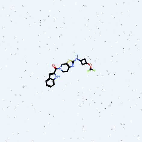 O=C(c1cc2ccccc2[nH]1)N1CCc2nc(NC3CC(OC(F)F)C3)sc2C1